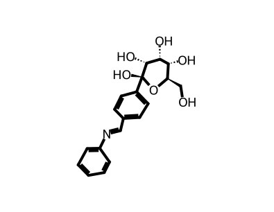 OC[C@H]1O[C@](O)(c2ccc(C=Nc3ccccc3)cc2)[C@H](O)[C@H](O)[C@@H]1O